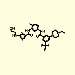 CCN1CCN(c2cc(C(=O)Nc3ccc(C)c(NC(=O)c4cnc(NCCO)s4)c3)cc(C(F)(F)F)c2)CC1